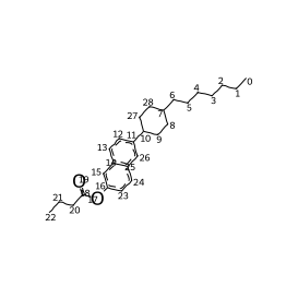 CCCCCCCC1CCC(c2ccc3cc(OC(=O)CCC)ccc3c2)CC1